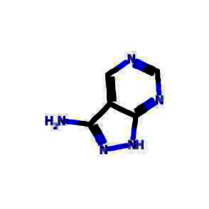 Nc1n[nH]c2ncncc12